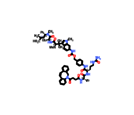 CN[C@@H](C(=O)N[C@H](C(=O)N(C)[C@H](/C=C(\C)C(=O)O)C(C)C)C(C)(C)C)C(C)(C)c1cn(C)c2cc(NC(=O)OCc3ccc(NC(=O)[C@H](CCCNC(N)=O)NC(=O)[C@@H](NC(=O)CCC(=O)N4Cc5ccccc5C#Cc5ccccc54)C(C)C)cc3)ccc12